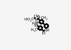 CCC(Nc1cccc(-c2cc(C)c(C(=O)N[C@@H](C)C(=O)O)c(C)c2)c1)c1ccc(Cl)c(C)c1